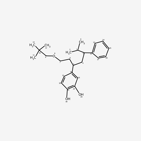 CC(C)C(CC(CCOCC(C)(C)C)c1ccc(O)c(O)c1)c1ccccc1